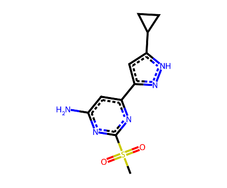 CS(=O)(=O)c1nc(N)cc(-c2cc(C3CC3)[nH]n2)n1